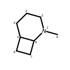 CN1CCCC2CCC21